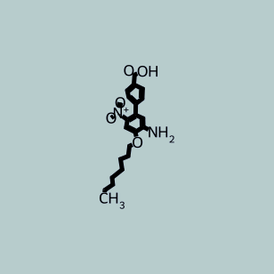 CCCCCCCCOc1cc([N+](=O)[O-])c(-c2ccc(C(=O)O)cc2)cc1N